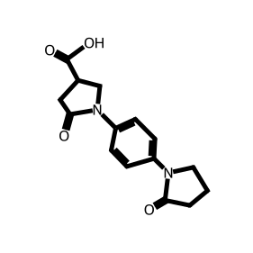 O=C(O)C1CC(=O)N(c2ccc(N3CCCC3=O)cc2)C1